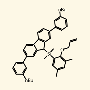 C=CCOc1c(C)cc(C)cc1[Si](C)(C)C1c2cc(-c3cccc(CCCC)c3)ccc2-c2ccc(-c3cccc(CCCC)c3)cc21